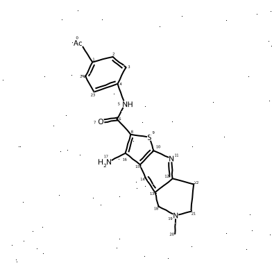 CC(=O)c1ccc(NC(=O)c2sc3nc4c(cc3c2N)CN(C)CC4)cc1